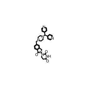 O=C1CCN(N2Cc3cc(CN4CCN(C(c5ccncc5)c5ccncc5)CC4)ccc3C2=O)C(=O)N1